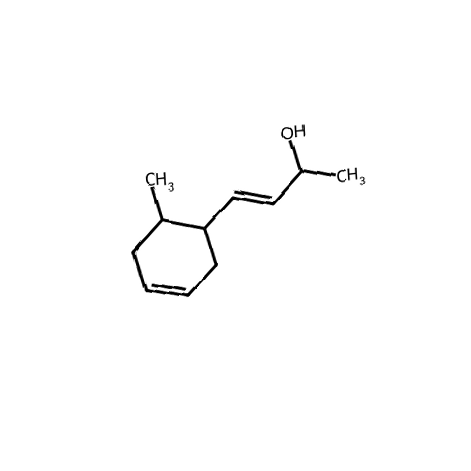 CC(O)/C=C/C1CC=CCC1C